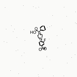 O=C(O)C(c1ccccc1)N1CCN(c2ccc([N+](=O)[O-])cc2F)CC1